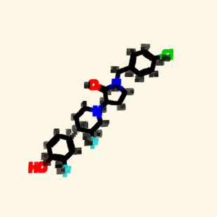 O=C1C(N2CC[C@@H](c3ccc(O)c(F)c3)[C@H](F)C2)CCN1Cc1ccc(Cl)cc1